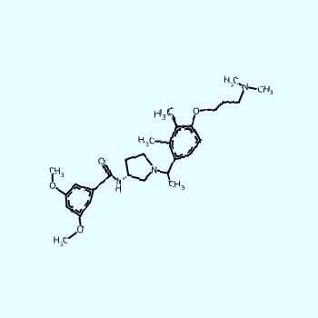 COc1cc(OC)cc(C(=O)N[C@@H]2CCN(C(C)c3ccc(OCCCN(C)C)c(C)c3C)C2)c1